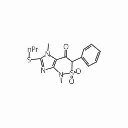 CCCSc1nc2c(n1C)C(=O)C(c1ccccc1)S(=O)(=O)N2C